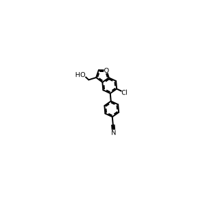 N#Cc1ccc(-c2cc3c(CO)coc3cc2Cl)cc1